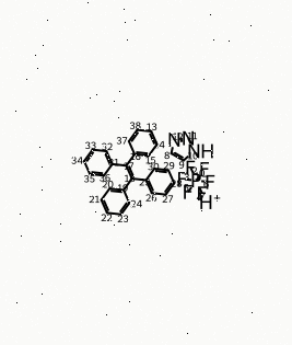 F[P-](F)(F)(F)(F)F.[H+].c1c[nH]nn1.c1ccc(C(=C(c2ccccc2)c2ccccc2)c2ccccc2)cc1